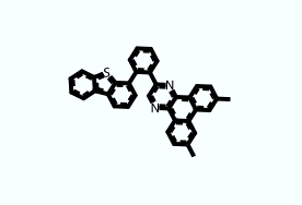 Cc1ccc2c(c1)c1cc(C)ccc1c1nc(-c3ccccc3-c3cccc4c3sc3ccccc34)cnc21